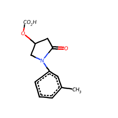 Cc1cccc(N2CC(OC(=O)O)CC2=O)c1